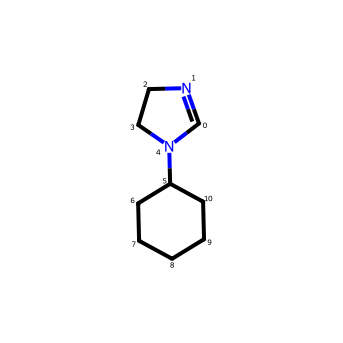 C1=NCCN1C1CCCCC1